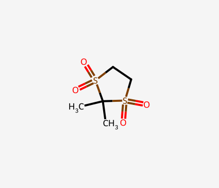 CC1(C)S(=O)(=O)CCS1(=O)=O